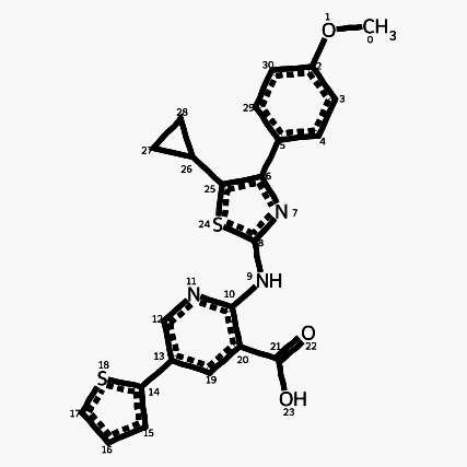 COc1ccc(-c2nc(Nc3ncc(-c4cccs4)cc3C(=O)O)sc2C2CC2)cc1